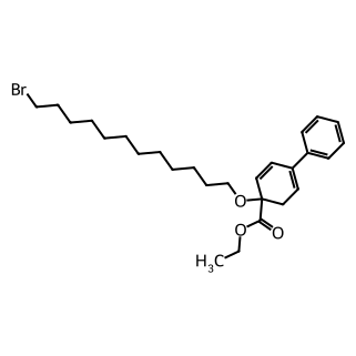 CCOC(=O)C1(OCCCCCCCCCCCCBr)C=CC(c2ccccc2)=CC1